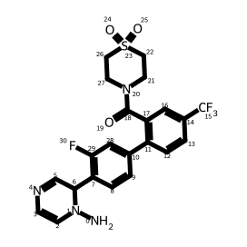 NN1C=CN=CC1c1ccc(-c2ccc(C(F)(F)F)cc2C(=O)N2CCS(=O)(=O)CC2)cc1F